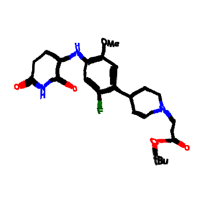 COc1cc(C2CCN(CC(=O)OC(C)(C)C)CC2)c(F)cc1NC1CCC(=O)NC1=O